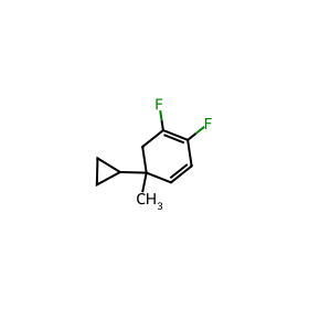 CC1(C2CC2)C=CC(F)=C(F)C1